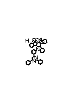 CC1(C)c2ccccc2-c2c1c1sc3ccccc3c1c1c3ccccc3n(-c3cccc(-c4cc(-c5ccccc5)nc(-c5ccccc5)n4)c3)c21